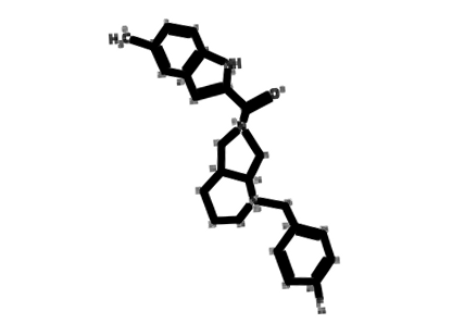 Cc1ccc2[nH]c(C(=O)N3CC4CCCN(Cc5ccc(F)cc5)C4C3)cc2c1